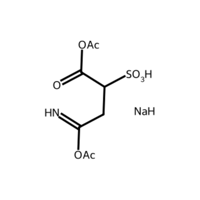 CC(=O)OC(=N)CC(C(=O)OC(C)=O)S(=O)(=O)O.[NaH]